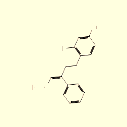 O=C(O)C=C(CCc1ccc(Br)cc1F)c1ccccc1